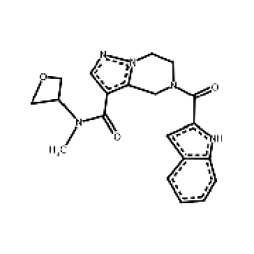 CN(C(=O)c1cnn2c1CN(C(=O)c1cc3ccccc3[nH]1)CC2)C1COC1